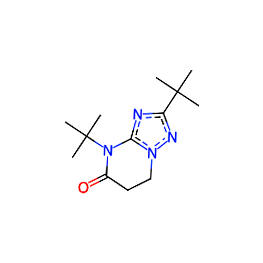 CC(C)(C)c1nc2n(n1)CCC(=O)N2C(C)(C)C